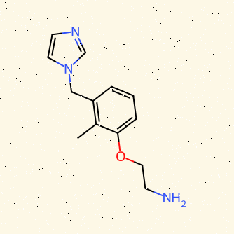 Cc1c(Cn2ccnc2)cccc1OCCN